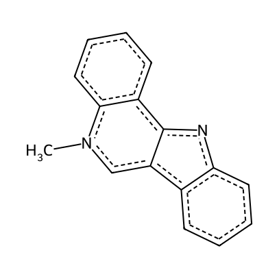 Cn1cc2c3ccccc3nc-2c2ccccc21